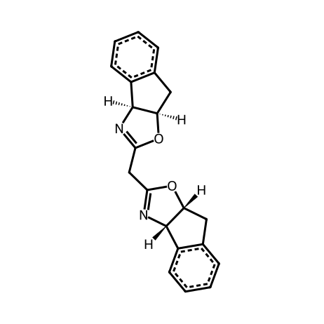 c1ccc2c(c1)C[C@H]1OC(CC3=N[C@H]4c5ccccc5C[C@H]4O3)=N[C@@H]21